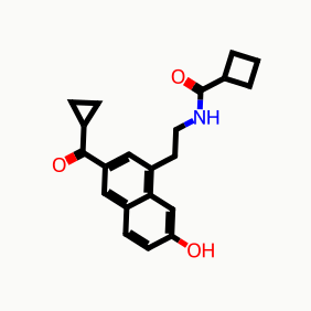 O=C(NCCc1cc(C(=O)C2CC2)cc2ccc(O)cc12)C1CCC1